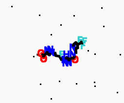 COC(=O)c1cn(CCC(F)Cn2cc(C(=O)NCc3cc(C(F)(F)F)ccn3)nn2)nn1